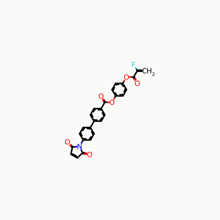 C=C(F)C(=O)Oc1ccc(OC(=O)c2ccc(-c3ccc(N4C(=O)C=CC4=O)cc3)cc2)cc1